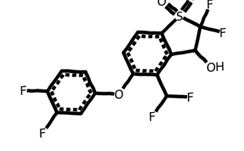 O=S1(=O)c2ccc(Oc3ccc(F)c(F)c3)c(C(F)F)c2C(O)C1(F)F